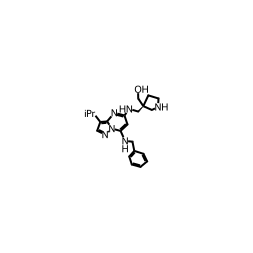 CC(C)c1cnn2c(NCc3ccccc3)cc(NC[C@@]3(CO)CCNC3)nc12